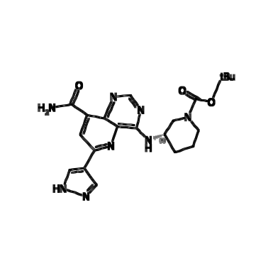 CC(C)(C)OC(=O)N1CCC[C@H](Nc2ncnc3c(C(N)=O)cc(-c4cn[nH]c4)nc23)C1